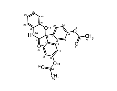 CC(=O)Oc1ccc(C2(c3ccc(OC(C)=O)cc3)Oc3ccccc3NC2=O)cc1